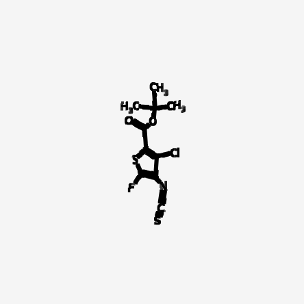 CC(C)(C)OC(=O)c1sc(F)c(N=C=S)c1Cl